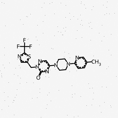 Cc1ccc(N2CCN(c3cnn(Cc4cnc(C(F)(F)F)s4)c(=O)n3)CC2)nc1